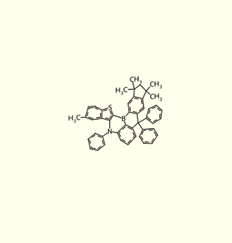 Cc1ccc2sc3c(c2c1)N(c1ccccc1)c1cccc2c1B3c1cc3c(cc1C2(c1ccccc1)c1ccccc1)C(C)(C)CC3(C)C